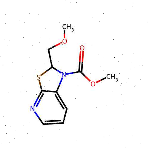 COCC1Sc2nc[c]cc2N1C(=O)OC